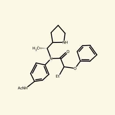 CCC(Oc1ccccc1)C(=O)N(c1ccc(NC(C)=O)cc1)[C@H](C)C1CCCN1